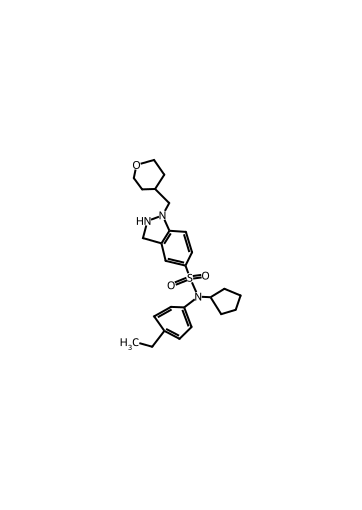 CCc1ccc(N(C2CCCC2)S(=O)(=O)c2ccc3c(c2)CNN3CC2CCOCC2)cc1